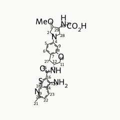 COC1CN(c2ccc3c(c2)OC[C@H](NC(=O)c2sc4nc(C)ccc4c2N)C3)CC1NC(=O)O